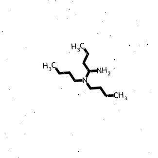 CCCCN(CCCC)C(N)CCC